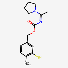 CC(=NC(=O)OCc1ccc([N+](=O)[O-])c(S)c1)N1CCCC1